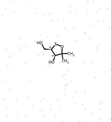 CC1(C)OS[C@H](CO)[C@@H]1O